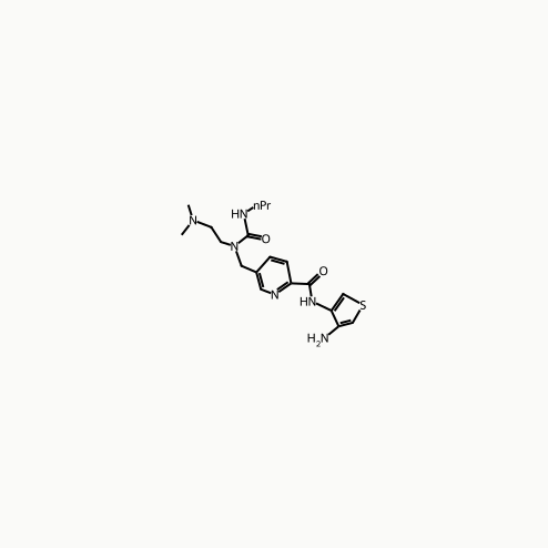 CCCNC(=O)N(CCN(C)C)Cc1ccc(C(=O)Nc2cscc2N)nc1